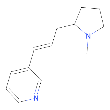 CN1CCCC1C/C=C/c1cccnc1